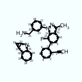 C#Cc1ccccc1-c1ccc2c(C)nn(-c3cccc(CN)c3)c2c1F.c1ccc2c3cc-3nc2c1